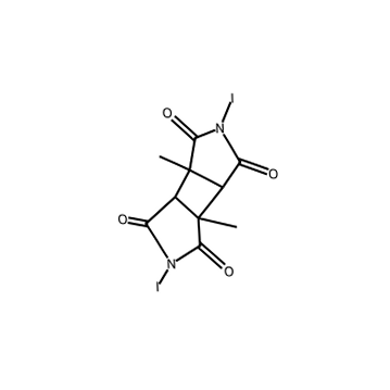 CC12C(=O)N(I)C(=O)C1C1(C)C(=O)N(I)C(=O)C21